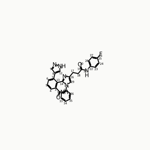 NC(=O)c1cccc(-c2cn[nH]c2)c1-c1nc(CCC(=O)Nc2ccc(F)cc2)cn1-c1ccccc1